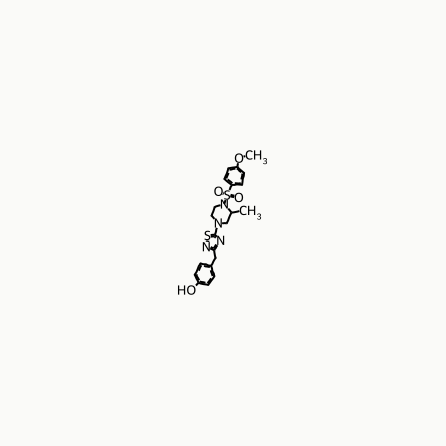 COc1ccc(S(=O)(=O)N2CCN(c3nc(Cc4ccc(O)cc4)ns3)CC2C)cc1